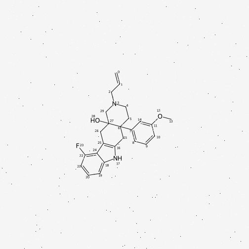 C=CCN1CCC2(c3cccc(OC)c3)Cc3[nH]c4cccc(F)c4c3CC2(O)C1